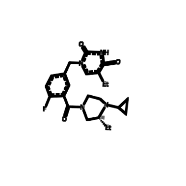 CCc1cn(Cc2ccc(F)c(C(=O)N3CCN(C4CC4)[C@H](CC)C3)c2)c(=O)[nH]c1=O